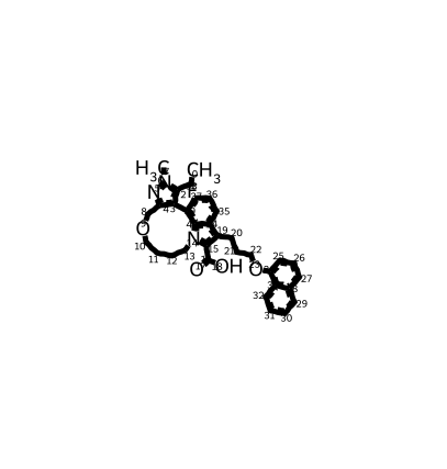 CCc1c2c(nn1C)COCCCCn1c(C(=O)O)c(CCCOc3cccc4ccccc34)c3ccc(F)c-2c31